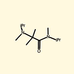 CC(C)N(C)C(=O)C(C)(C)N(C)C(C)C